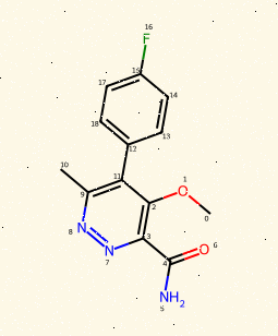 COc1c(C(N)=O)nnc(C)c1-c1ccc(F)cc1